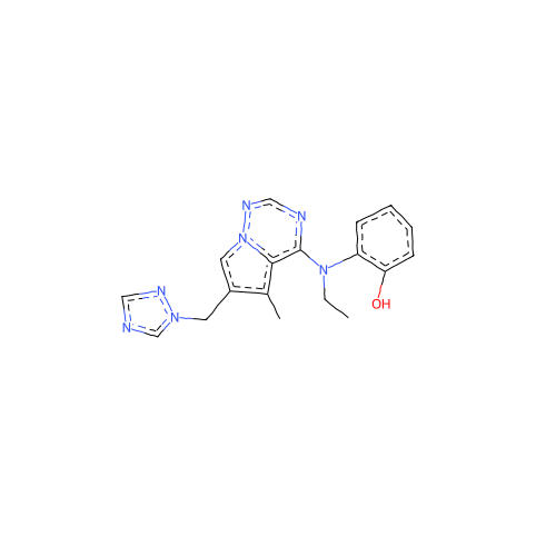 CCN(c1ccccc1O)c1ncnn2cc(Cn3cncn3)c(C)c12